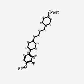 CCCCCC1CCC(CCCCC2CCC(c3ccc(OCC)c(F)c3F)CC2)CC1